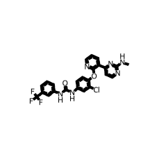 CNc1nccc(-c2cccnc2Oc2ccc(NC(=O)Nc3cccc(C(F)(F)F)c3)cc2Cl)n1